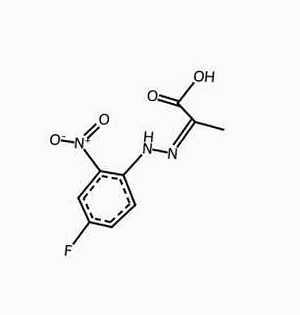 C/C(=N/Nc1ccc(F)cc1[N+](=O)[O-])C(=O)O